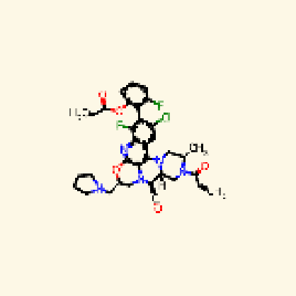 C=CC(=O)Oc1cccc(F)c1-c1c(Cl)cc2c3c4c(nc2c1F)O[C@H](CN1CCCC1)CN4C(=C=O)[C@H]1CN(C(=O)C=C)[C@H](C)CN31